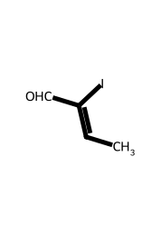 C/C=C(\I)C=O